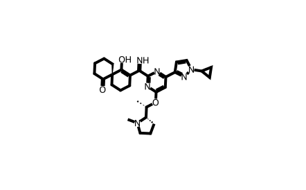 C[C@H](Oc1cc(-c2ccn(C3CC3)n2)nc(C(=N)C2=C(O)[C@]3(CCCCC3=O)CCC2)n1)[C@@H]1CCCN1C